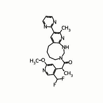 COc1cc([C@H](C)C(=O)N2CCCCc3cc(-c4ncccn4)c(C)nc3NC2)c(C(F)F)cn1